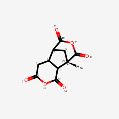 O=C1CC2C3C[C@H](C(=O)OC3=O)C2C(=O)O1